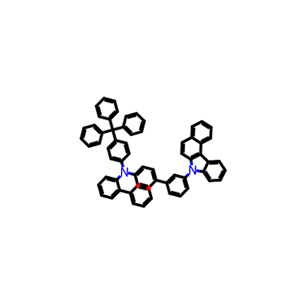 c1ccc(-c2ccccc2N(c2ccc(-c3cccc(-n4c5ccccc5c5c6ccccc6ccc54)c3)cc2)c2ccc(C(c3ccccc3)(c3ccccc3)c3ccccc3)cc2)cc1